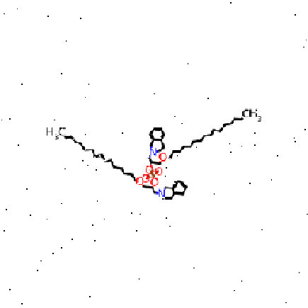 CCCCCCCCCCCCCCCCOCC(CN1CCc2ccccc2C1)OS(=O)(=O)OC(COCCCCCCCCCCCCCCCC)CN1CCc2ccccc2C1